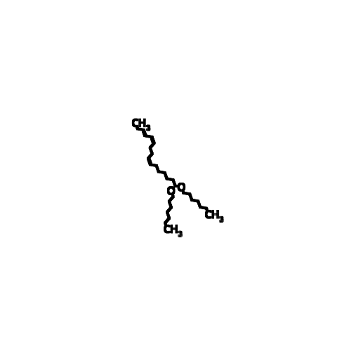 CC/C=C/C=C\CC/C=C\CCCCCC(OCCCCCCC)OCCCCCCC